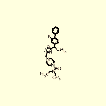 CCN(CC)C(=O)N1CCN(Cc2noc(C(C)c3ccc(-c4ccccc4)c(F)c3)n2)CC1